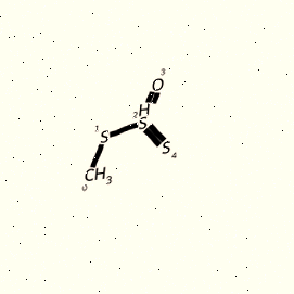 CS[SH](=O)=S